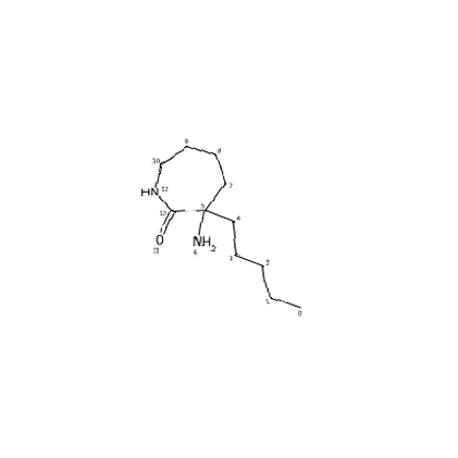 CCCCCC1(N)CCCCNC1=O